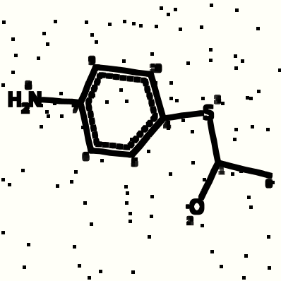 CC([O])Sc1ccc(N)cc1